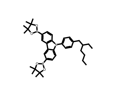 CCCCC(CC)Cc1ccc(-n2c3ccc(B4OC(C)(C)C(C)(C)O4)cc3c3cc(B4OC(C)(C)C(C)(C)O4)ccc32)cc1